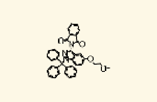 COCCOc1ccc2c(c1)c(N1C(=O)c3ccccc3C1=O)nn2C(c1ccccc1)(c1ccccc1)c1ccccc1